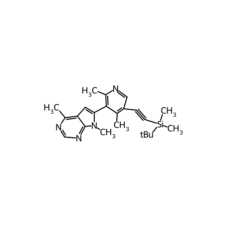 Cc1ncc(C#C[Si](C)(C)C(C)(C)C)c(C)c1-c1cc2c(C)ncnc2n1C